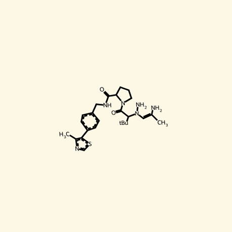 C/C(N)=C/N(N)C(C(=O)N1CCCC1C(=O)NCc1ccc(-c2scnc2C)cc1)C(C)(C)C